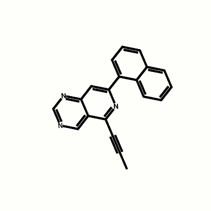 CC#Cc1nc(-c2cccc3ccccc23)cc2ncncc12